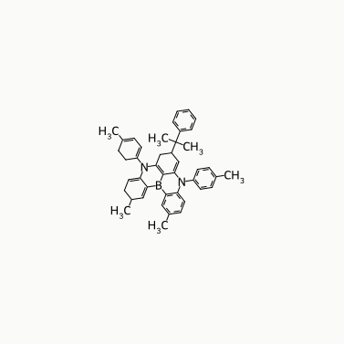 CC1=CC=C(N2C3=CCC(C)C=C3B3C4=C2CC(C(C)(C)c2ccccc2)C=C4N(c2ccc(C)cc2)c2ccc(C)cc23)CC1